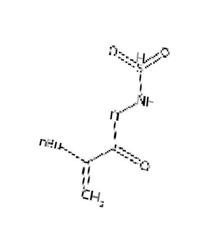 C=C(CCCC)C(=O)ON[SH](=O)=O